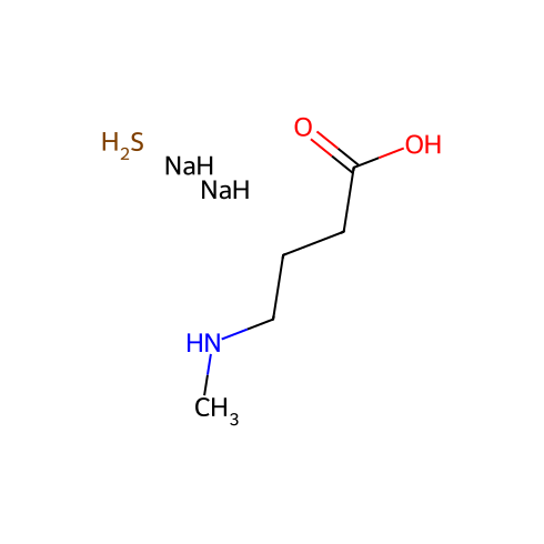 CNCCCC(=O)O.S.[NaH].[NaH]